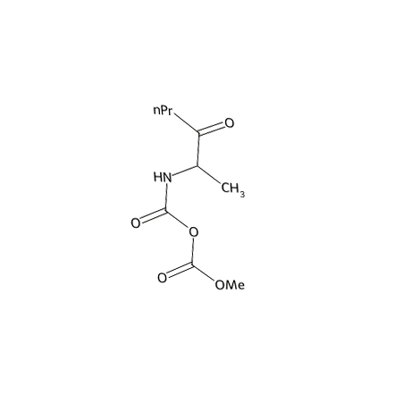 CCCC(=O)C(C)NC(=O)OC(=O)OC